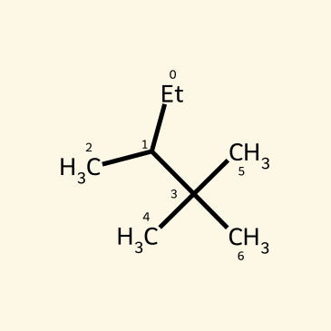 CCC(C)C(C)(C)C